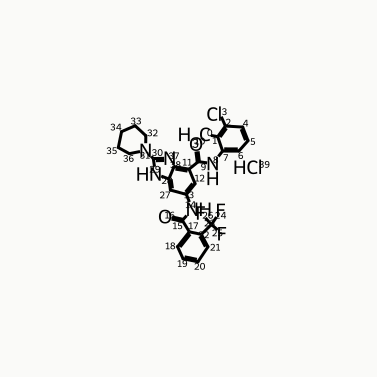 Cc1c(Cl)cccc1NC(=O)c1cc(NC(=O)c2ccccc2C(F)(F)F)cc2[nH]c(N3CCCCC3)nc12.Cl